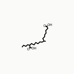 CCCCC(CCCCCCC(C)CCCCCCC(=O)O)C(=O)O